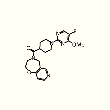 COc1nc(N2CCC(C(=O)N3CCOc4ccncc4C3)CC2)ncc1F